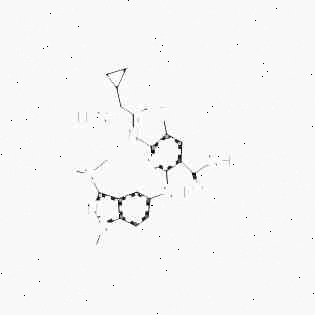 C[C@@H](Nc1nc(Nc2ccc3c(c2)c(N(C)C)nn3C)c(C(N)=O)cc1F)[C@H](N)C1CC1